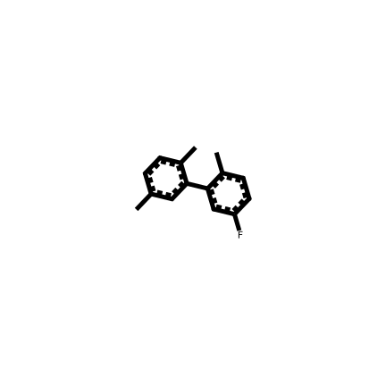 Cc1ccc(C)c(-c2cc(F)ccc2C)c1